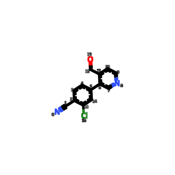 N#Cc1ccc(-c2cnccc2C=O)cc1Cl